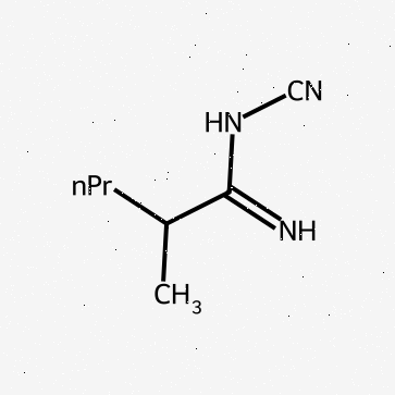 CCCC(C)C(=N)NC#N